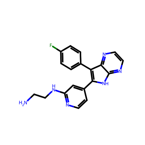 NCCNc1cc(-c2[nH]c3nccnc3c2-c2ccc(F)cc2)ccn1